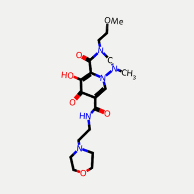 COCCN1CN(C)n2cc(C(=O)NCCN3CCOCC3)c(=O)c(O)c2C1=O